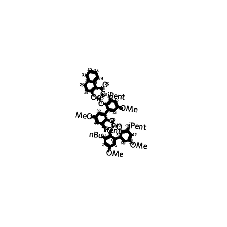 CCCCc1cc(OC)cc2c1op(Oc1c(-c3cc(OC)cc(C(C)CCC)c3OP3OC(=O)c4c(ccc5ccccc45)O3)cc(OC)cc1C(C)CCC)oc1c(C(C)CCC)cc(OC)cc12